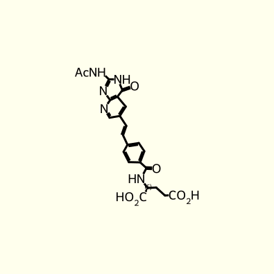 CC(=O)Nc1nc2ncc(C=Cc3ccc(C(=O)N[C@@H](CCC(=O)O)C(=O)O)cc3)cc2c(=O)[nH]1